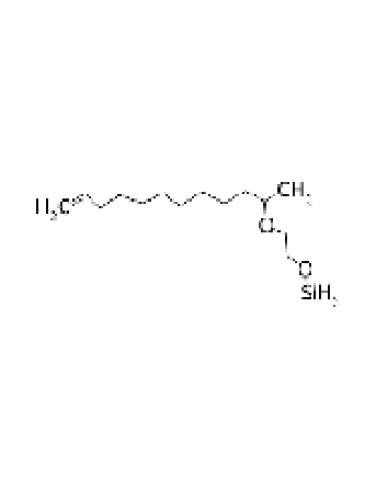 C=CCCCCCCCCC(C)OCCO[SiH3]